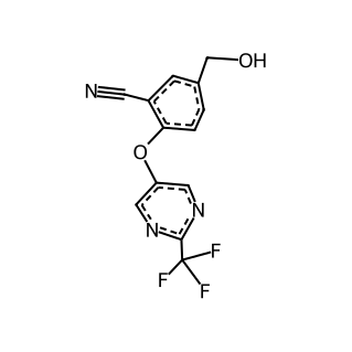 N#Cc1cc(CO)ccc1Oc1cnc(C(F)(F)F)nc1